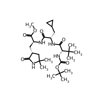 COC(=O)[C@H](C[C@@H]1CC(C)(C)NC1=O)NC(=O)[C@H](CC1CC1)NC(=O)[C@@H](NC(=O)OC(C)(C)C)C(C)(C)C